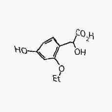 CCOc1cc(O)ccc1C(O)C(=O)O